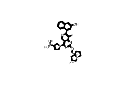 OB(O)C1=CCN(c2nc(OC[C@@]34CCCN3C[C@H](F)C4)nc3c(F)c(-c4cc(O)cc5ccccc45)ncc23)C1